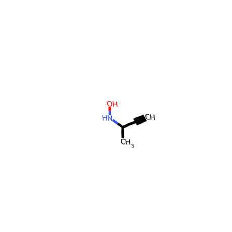 C#CC(C)NO